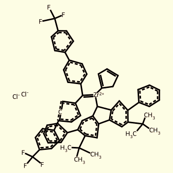 CC(C)(C)c1cc2c(cc1-c1ccccc1)[CH]([Zr+2]([C]1=CC=CC1)=[C](c1ccc(-c3ccc(C(F)(F)F)cc3)cc1)c1ccc(-c3ccc(C(F)(F)F)cc3)cc1)c1cc(-c3ccccc3)c(C(C)(C)C)cc1-2.[Cl-].[Cl-]